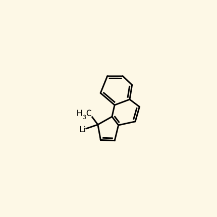 [Li][C]1(C)C=Cc2ccc3ccccc3c21